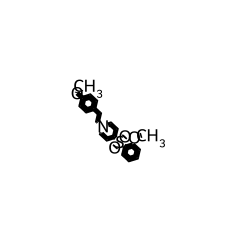 COc1ccc(CCN2CCC(S(=O)(=O)c3ccccc3OC)CC2)cc1